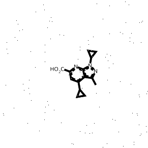 Cc1nn(C2CC2)c2nc(C(=O)O)cc(C3CC3)c12